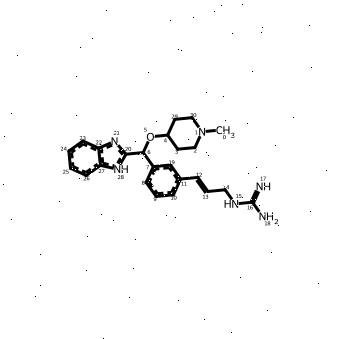 CN1CCC(OC(c2cccc(/C=C/CNC(=N)N)c2)c2nc3ccccc3[nH]2)CC1